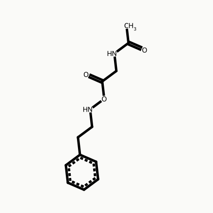 CC(=O)NCC(=O)ONCCc1ccccc1